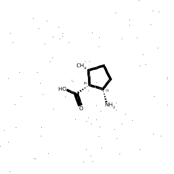 C.N[C@H]1CCC[C@H]1C(=O)O